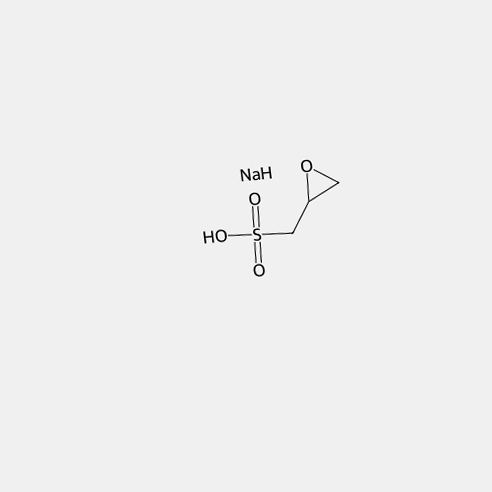 O=S(=O)(O)CC1CO1.[NaH]